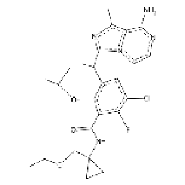 CCOCC1(NC(=O)c2c(F)c(Cl)cc(C(C)c3nc(C)c4c(N)nccn34)c2OC(C)C)CC1